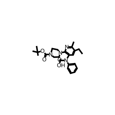 CCc1cc(N(C(=O)O)c2ccccc2)c(N2CCN(C(=O)OC(C)(C)C)CC2)nc1C